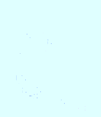 NC(=O)c1c(-c2ccc(-c3cc(C4CCN(CCO)CC4)n4ncnc(N)c34)c(F)c2)c2c(n(-c3ccc(F)cc3)c1=O)CCCC2=O